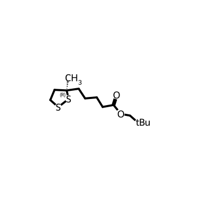 CC(C)(C)COC(=O)CCCC[C@]1(C)CCSS1